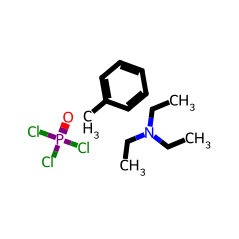 CCN(CC)CC.Cc1ccccc1.O=P(Cl)(Cl)Cl